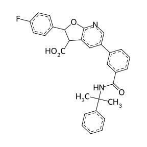 CC(C)(NC(=O)c1cccc(-c2cnc3c(c2)C(C(=O)O)C(c2ccc(F)cc2)O3)c1)c1ccccc1